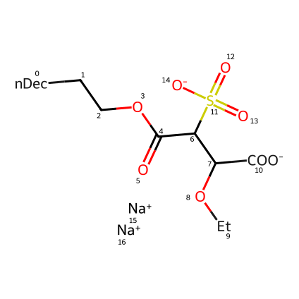 CCCCCCCCCCCCOC(=O)C(C(OCC)C(=O)[O-])S(=O)(=O)[O-].[Na+].[Na+]